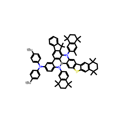 Cc1cc2c(cc1N1c3cc4c(cc3B3c5c(cc6c(c51)C(C)(C)c1ccccc1-6)-c1cc(N(c5ccc(C(C)(C)C)cc5)c5ccc(C(C)(C)C)cc5)ccc1N3c1ccc3c(c1)C(C)(C)CCC3(C)C)sc1cc3c(cc14)C(C)(C)CCC3(C)C)C(C)(C)CCC2(C)C